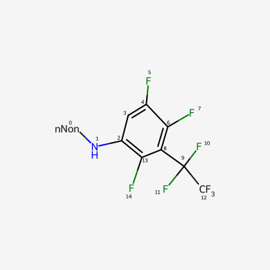 CCCCCCCCCNc1cc(F)c(F)c(C(F)(F)C(F)(F)F)c1F